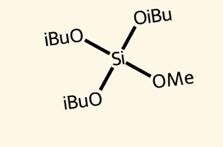 CO[Si](OCC(C)C)(OCC(C)C)OCC(C)C